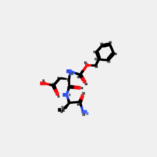 C[C@@H](NC(=O)[C@H](CC(=O)O)NC(=O)OCc1ccccc1)C(N)=O